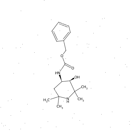 CC1(C)C[C@@H](NC(=O)OCc2ccccc2)[C@@H](O)C(C)(C)N1